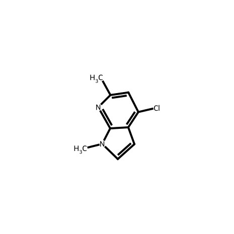 Cc1cc(Cl)c2ccn(C)c2n1